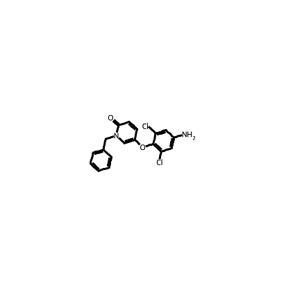 Nc1cc(Cl)c(Oc2ccc(=O)n(Cc3ccccc3)c2)c(Cl)c1